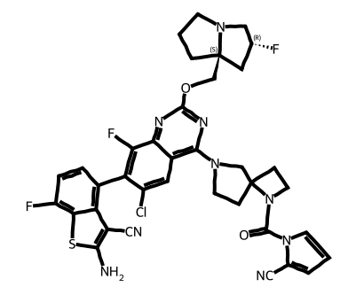 N#Cc1c(N)sc2c(F)ccc(-c3c(Cl)cc4c(N5CCC6(CCN6C(=O)n6cccc6C#N)C5)nc(OC[C@@]56CCCN5C[C@H](F)C6)nc4c3F)c12